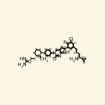 CN1[C@H](CCOC(=N)N)CCC[C@H]1c1ccc(-n2cc3cc(-c4cc(CCC[C@@H](N)C5CC5)cc(Cl)c4F)[nH]c3nc2=O)cc1